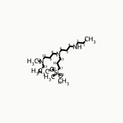 CCCNCCCN(CCCN(C)CC)CCC[Si](C)(OC)OC